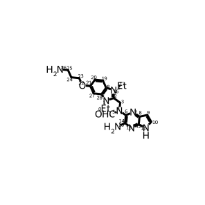 CCn1c(CN(C=O)c2nc3cc[nH]c3nc2N)[n+](CC)c2ccc(OCCCN)cc21